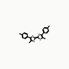 CC1=C(c2ccc(C)cc2)S/C(=C2/SC(C)=C(c3ccc(C)cc3)S2)S1